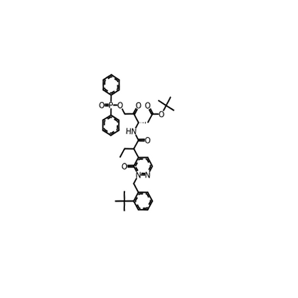 CCC(C(=O)N[C@@H](CC(=O)OC(C)(C)C)C(=O)COP(=O)(c1ccccc1)c1ccccc1)c1ccnn(Cc2ccccc2C(C)(C)C)c1=O